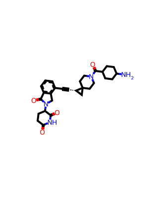 NC1CCC(C(=O)N2CCC3(CC2)C[C@@H]3C#Cc2cccc3c2CN(C2CCC(=O)NC2=O)C3=O)CC1